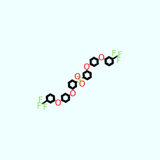 O=S(=O)(c1cccc(Oc2ccc(Oc3cccc(C(F)(F)F)c3)cc2)c1)c1cccc(Oc2ccc(Oc3cccc(C(F)(F)F)c3)cc2)c1